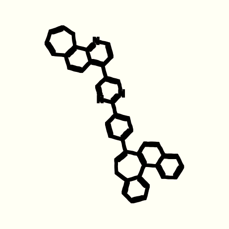 C1=CCc2c(ccc3c(-c4cnc(-c5ccc(C6=CCc7ccccc7-c7c6ccc6ccccc76)cc5)nc4)ccnc23)C=C1